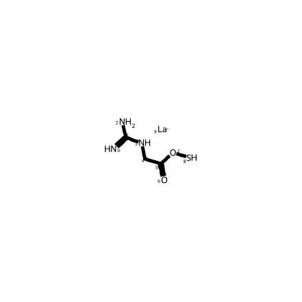 N=C(N)NCC(=O)OS.[La]